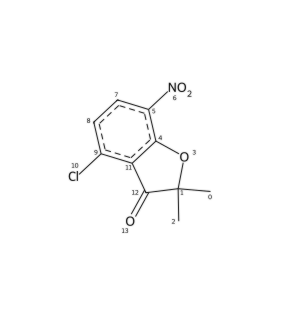 CC1(C)Oc2c([N+](=O)[O-])ccc(Cl)c2C1=O